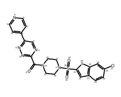 O=C(c1ncc(-c2ccncc2)nn1)N1CCN(S(=O)(=O)c2cc3ccc(Cl)cc3s2)CC1